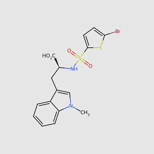 Cn1cc(C[C@H](NS(=O)(=O)c2ccc(Br)s2)C(=O)O)c2ccccc21